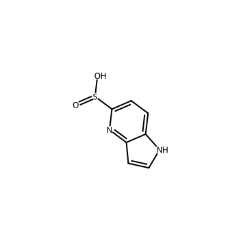 O=S(O)c1ccc2[nH]ccc2n1